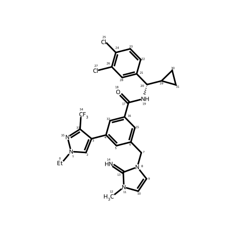 CCn1cc(-c2cc(Cn3ccn(C)c3=N)cc(C(=O)N[C@H](c3ccc(Cl)c(Cl)c3)C3CC3)c2)c(C(F)(F)F)n1